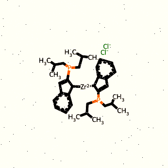 CC(C)CP(CC(C)C)C1=Cc2ccccc2[CH]1[Zr+2][CH]1C(P(CC(C)C)CC(C)C)=Cc2ccccc21.[Cl-].[Cl-]